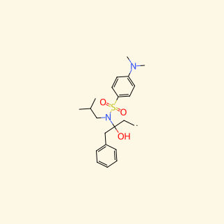 [CH2]CC(O)(Cc1ccccc1)N(CC(C)C)S(=O)(=O)c1ccc(N(C)C)cc1